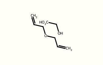 C=CCOCC=C.O=C(O)CO